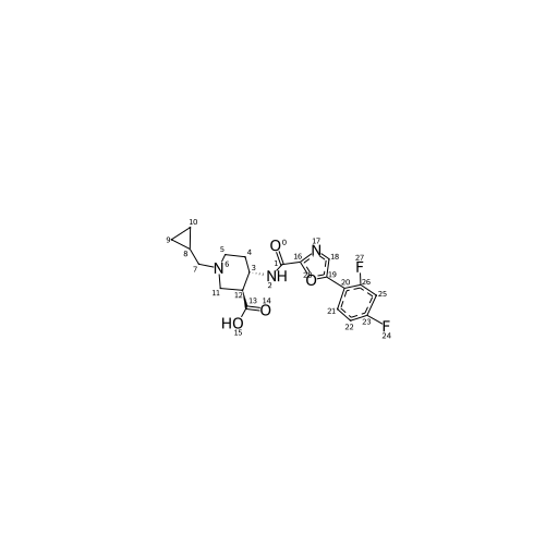 O=C(N[C@H]1CCN(CC2CC2)C[C@@H]1C(=O)O)c1ncc(-c2ccc(F)cc2F)o1